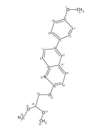 COc1ccc(-c2ccc3nc(OCC(OC)OC)ccc3c2)cc1